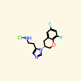 Fc1cc(F)c2c(c1)C[C@@H](n1cncc1CCNCl)CO2